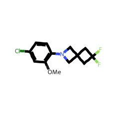 COc1cc(Cl)ccc1N1CC2(C1)CC(F)(F)C2